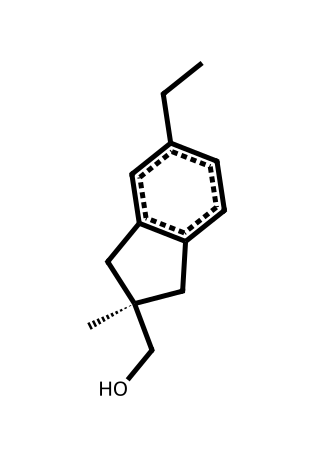 CCc1ccc2c(c1)C[C@](C)(CO)C2